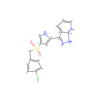 O=S(=O)(Cc1ccc(Cl)cc1)c1c[nH]c(-c2n[nH]c3ncccc23)c1